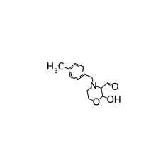 Cc1ccc(CN2CCOC(O)C2C=O)cc1